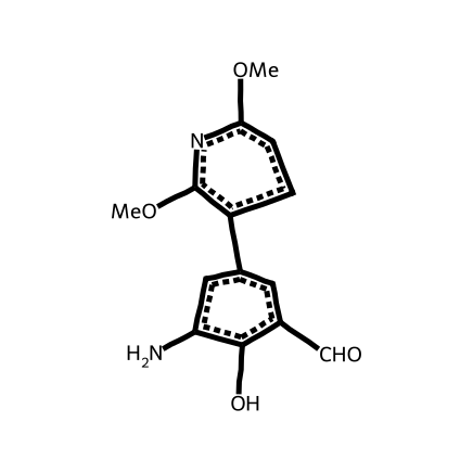 COc1ccc(-c2cc(N)c(O)c(C=O)c2)c(OC)n1